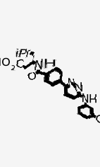 CC(C)C[C@@H](CC(=O)O)NC(=O)c1ccc(-c2ccc(Nc3cccc(Cl)c3)nn2)cc1